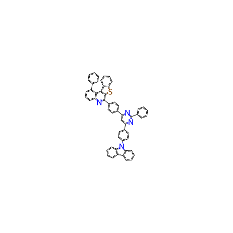 c1ccc(-c2nc(-c3ccc(-c4nc5cccc(-c6ccccc6)c5c5c4sc4ccccc45)cc3)cc(-c3ccc(-n4c5ccccc5c5ccccc54)cc3)n2)cc1